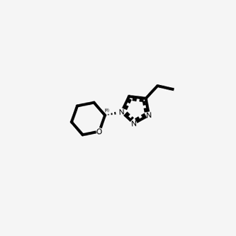 CCc1cn([C@H]2CCCCO2)nn1